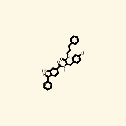 O=C(NC(Cc1ccc(Cl)cc1)C(=O)NCCCc1ccccc1)C1=CC2NN=C(c3ccccc3)C2C=C1